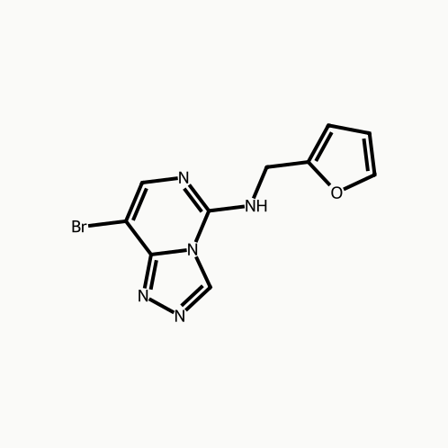 Brc1cnc(NCc2ccco2)n2cnnc12